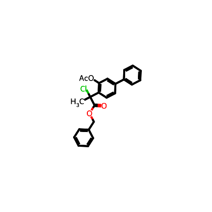 CC(=O)Oc1cc(-c2ccccc2)ccc1C(C)(Cl)C(=O)OCc1ccccc1